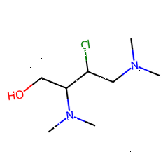 CN(C)CC(Cl)C(CO)N(C)C